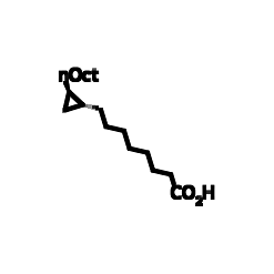 CCCCCCCC[C@@H]1C[C@H]1CCCCCCCC(=O)O